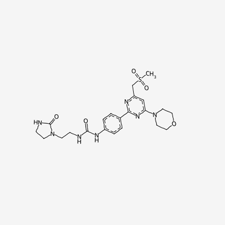 CS(=O)(=O)Cc1cc(N2CCOCC2)nc(-c2ccc(NC(=O)NCCN3CCNC3=O)cc2)n1